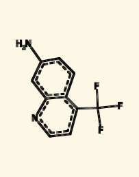 Nc1ccc2c(C(F)(F)F)ccnc2c1